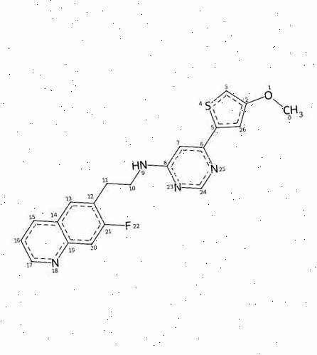 COc1csc(-c2cc(NCCc3cc4cccnc4cc3F)ncn2)c1